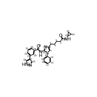 O=C(CCCCc1cn(-c2ccccc2)c(NC(=O)c2cccc(-c3cn[nH]c3)c2)n1)NC1CC1